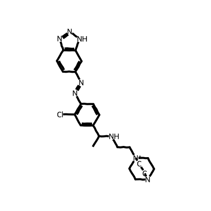 CC(NCC[N+]12CCN(CC1)CC2)c1ccc(N=Nc2ccc3nn[nH]c3c2)c(Cl)c1